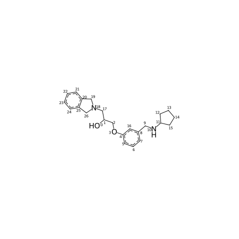 OC(COc1cccc(CNC2CCCC2)c1)CN1Cc2ccccc2C1